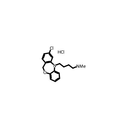 CNCCCCN1c2cc(Cl)ccc2COc2ccccc21.Cl